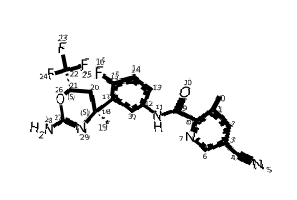 Cc1cc(C#N)cnc1C(=O)Nc1ccc(F)c([C@]2(C)C[C@@H](C(F)(F)F)OC(N)=N2)c1